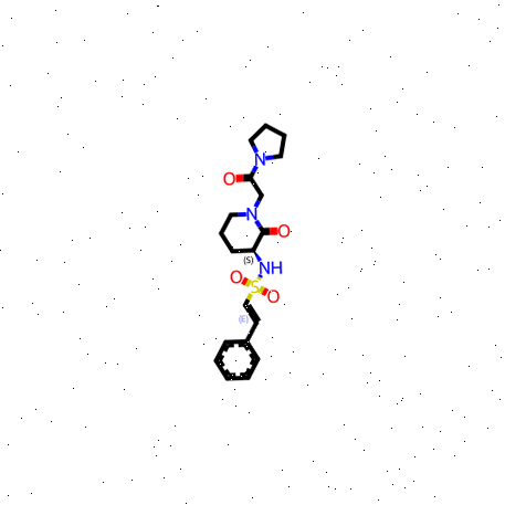 O=C(CN1CCC[C@H](NS(=O)(=O)/C=C/c2ccccc2)C1=O)N1CCCC1